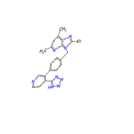 CCc1nc2c(C)cc(C)nc2n1Cc1ccc(-c2cnccc2-c2nnn[nH]2)cc1